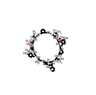 CC(=O)N[C@H]1CSCc2cccc(c2)CSC[C@H](C(N)=O)NC(=O)[C@H]([C@@H](C)O)NC(=O)[C@](C)(C(C)C)NC(=O)[C@H](Cc2ccc(O)cc2)NC(=O)[C@H](C)NC(=O)C2(CC2)NC(=O)[C@H](Cc2c[nH]c3ncccc23)NC(=O)[C@H]([C@@H](C)O)NC(=O)[C@@H]2CCCN2C(=O)[C@H](Cc2ccc(O)cc2)NC(=O)[C@H](C(C)(C)C)NC1=O